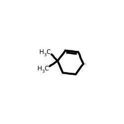 CC1(C)C=C[CH]CC1